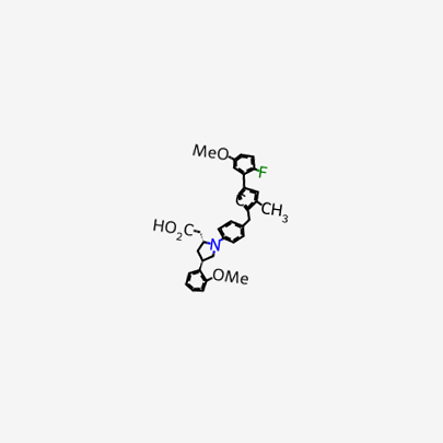 COc1ccc(F)c(-c2ccc(Cc3ccc(N4C[C@@H](c5ccccc5OC)C[C@@H]4CC(=O)O)cc3)c(C)c2)c1